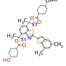 CCC(C)(OC(=O)C1CCC(O)CC1)c1ccc(C(C)(CC)OC(=O)C2CCC(OC)CC2)c2sc(-c3cc4cc(C)cc(C)c4s3)nc12